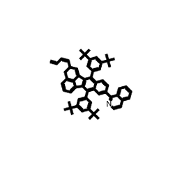 C=C/C=C\C1C=C2c3c(cccc3-c3c2c(-c2cc(C(C)(C)C)cc(C(C)(C)C)c2)c2ccc(-c4nccc5ccccc45)cc2c3-c2cc(C(C)(C)C)cc(C(C)(C)C)c2)C1